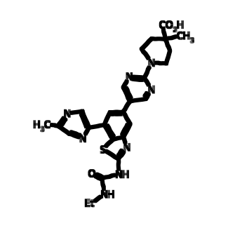 CCNC(=O)Nc1nc2cc(-c3cnc(N4CCC(C)(C(=O)O)CC4)nc3)cc(-c3cnc(C)cn3)c2s1